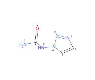 NC(=O)Nn1ccnn1